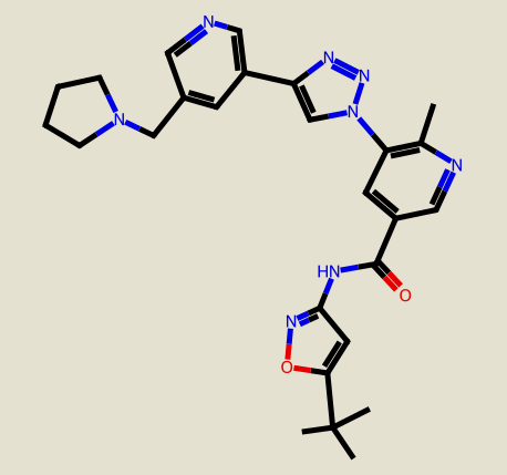 Cc1ncc(C(=O)Nc2cc(C(C)(C)C)on2)cc1-n1cc(-c2cncc(CN3CCCC3)c2)nn1